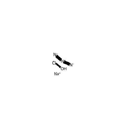 OCl.[N-]=[N+]=[N-].[Na+]